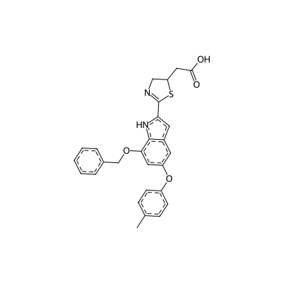 Cc1ccc(Oc2cc(OCc3ccccc3)c3[nH]c(C4=NCC(CC(=O)O)S4)cc3c2)cc1